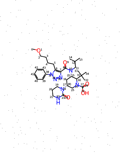 COCCCCc1c(C(=O)N(CC(C)C)[C@H]2C[C@@H](N3CCCNC3=O)CN(C(=O)O)C2C(C)(C)C)nnn1-c1ccccc1